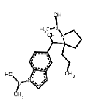 CCCC1(C(O)c2ccc3c(ccn3B(C)O)c2)CCCN1B(C)O